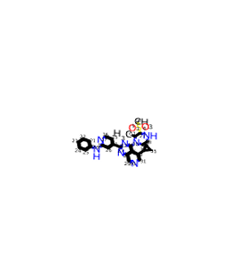 CC1C(S(C)(=O)=O)NCCN1c1nc(-c2ccnc(Nc3ccccc3)c2)nc2cncc(C3CC3)c12